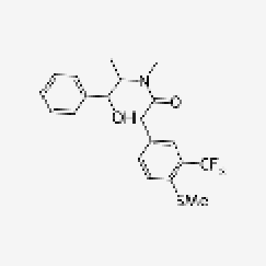 CSc1ccc(CC(=O)N(C)C(C)C(O)c2ccccc2)cc1C(F)(F)F